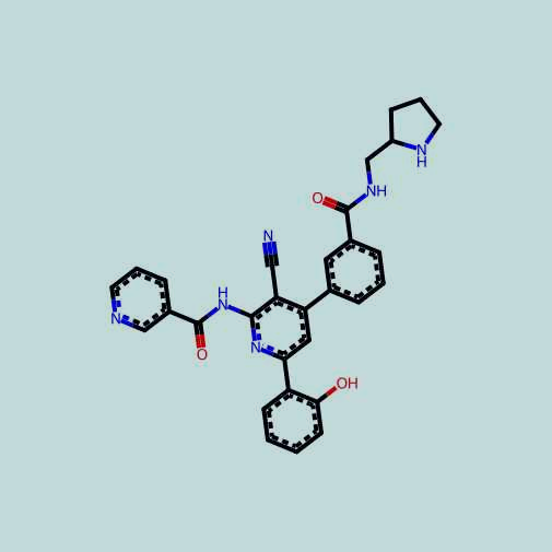 N#Cc1c(-c2cccc(C(=O)NCC3CCCN3)c2)cc(-c2ccccc2O)nc1NC(=O)c1cccnc1